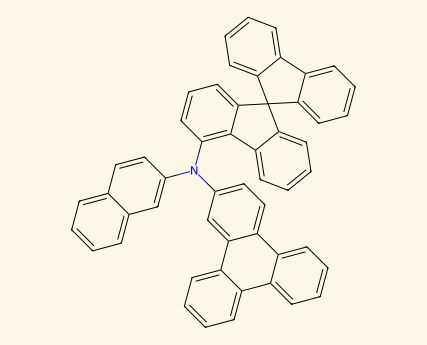 c1ccc2c(c1)-c1ccccc1C21c2ccccc2-c2c(N(c3ccc4ccccc4c3)c3ccc4c5ccccc5c5ccccc5c4c3)cccc21